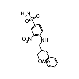 COCC(CNc1ccc(S(N)(=O)=O)cc1[N+](=O)[O-])Sc1ccccc1